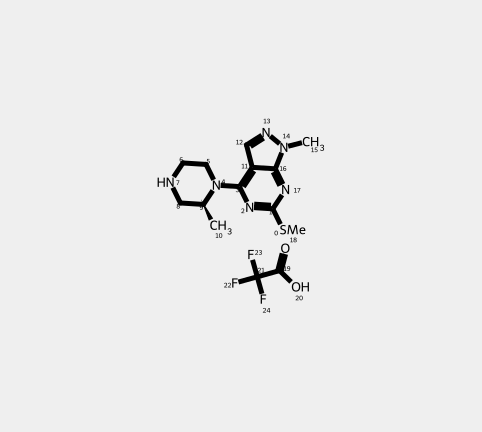 CSc1nc(N2CCNC[C@@H]2C)c2cnn(C)c2n1.O=C(O)C(F)(F)F